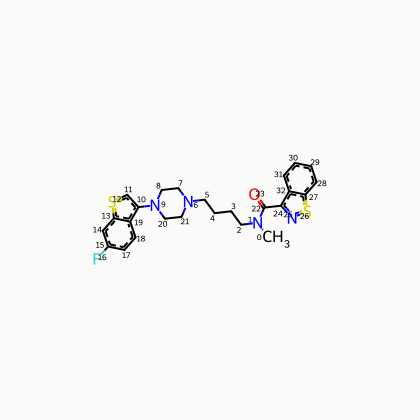 CN(CCCCN1CCN(c2csc3cc(F)ccc23)CC1)C(=O)c1nsc2ccccc12